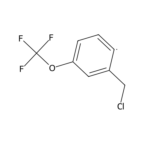 FC(F)(F)Oc1cc[c]c(CCl)c1